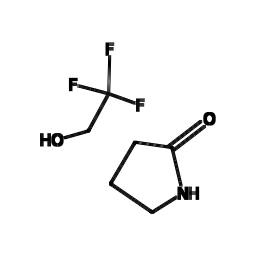 O=C1CCCN1.OCC(F)(F)F